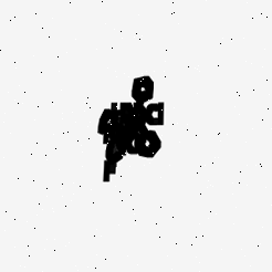 O=C(C(N1C=CC=CN1)N1NC(c2ccccc2)C(Cl)=C1c1ccccc1)N1CC[C@H](F)C1